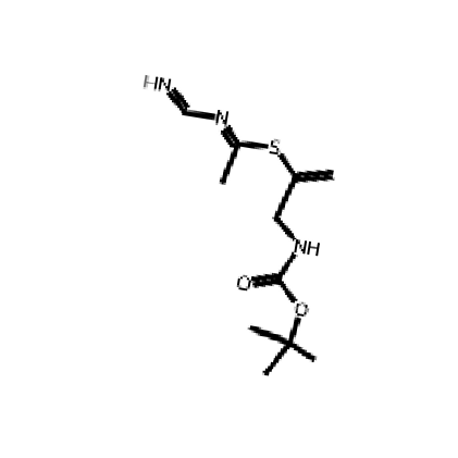 C=C(CNC(=O)OC(C)(C)C)S/C(C)=N/C=N